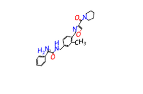 Cc1cc(CNC(=O)[C@@H](N)c2ccccc2)ccc1-c1nc(C(=O)N2CCCCC2)co1